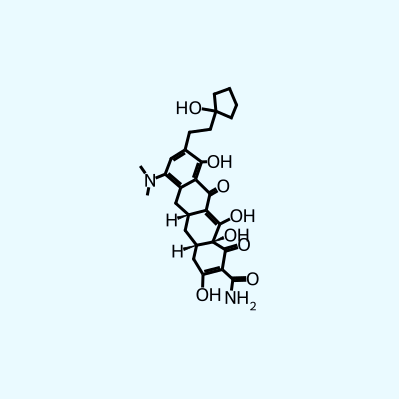 CN(C)c1cc(CCC2(O)CCCC2)c(O)c2c1C[C@H]1C[C@H]3CC(O)=C(C(N)=O)C(=O)[C@@]3(O)C(O)=C1C2=O